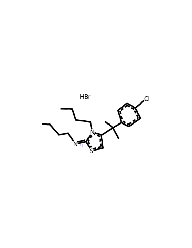 Br.CCCC/N=c1/scc(C(C)(C)c2ccc(Cl)cc2)n1CCCC